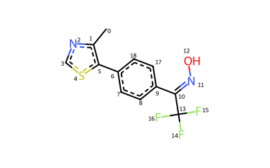 Cc1ncsc1-c1ccc(/C(=N\O)C(F)(F)F)cc1